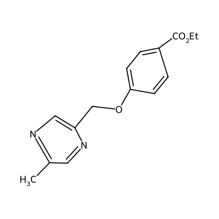 CCOC(=O)c1ccc(OCc2cnc(C)cn2)cc1